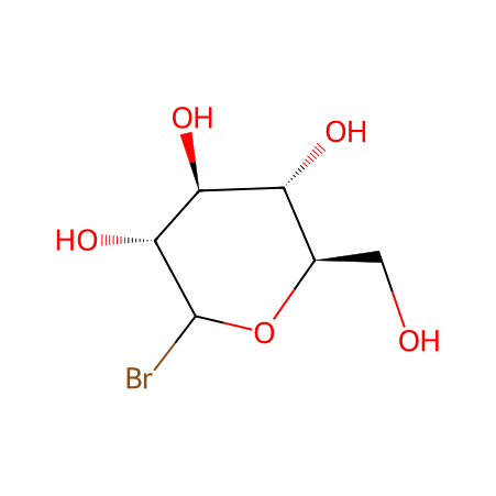 OC[C@H]1OC(Br)[C@H](O)[C@@H](O)[C@@H]1O